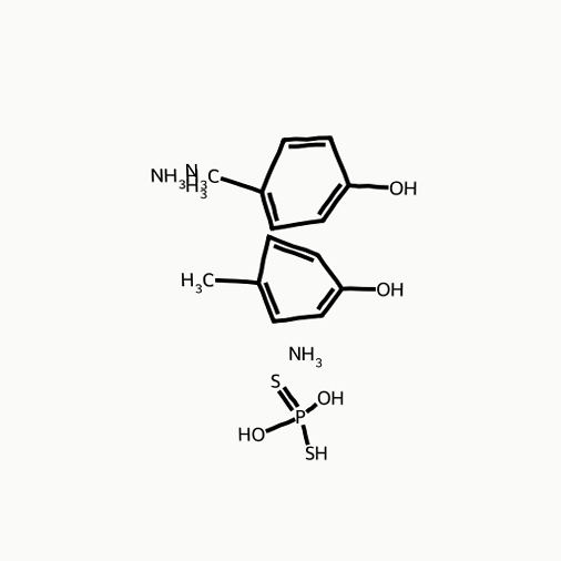 Cc1ccc(O)cc1.Cc1ccc(O)cc1.N.N.N.OP(O)(=S)S